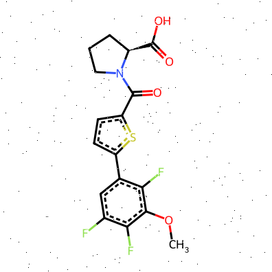 COc1c(F)c(F)cc(-c2ccc(C(=O)N3CCC[C@H]3C(=O)O)s2)c1F